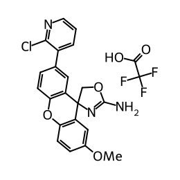 COc1ccc2c(c1)C1(COC(N)=N1)c1cc(-c3cccnc3Cl)ccc1O2.O=C(O)C(F)(F)F